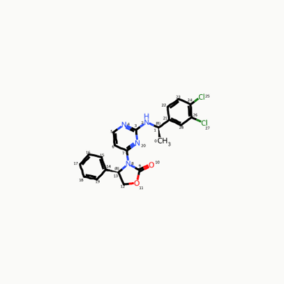 C[C@@H](Nc1nccc(N2C(=O)OC[C@H]2c2ccccc2)n1)c1ccc(Cl)c(Cl)c1